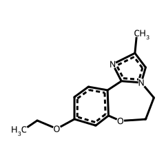 CCOc1ccc2c(c1)OCCn1cc(C)nc1-2